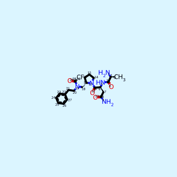 C[C@H](N)C(=O)N[C@@H](CC(N)=O)C(=O)N1CCC[C@H]1CN(CCc1ccccc1)C(=O)C(F)(F)F